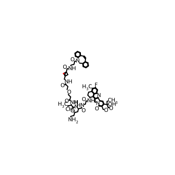 CCC1(O)C(=O)OCc2c1cc1n(c2=O)Cc2c-1nc1cc(F)c(C)c3c1c2C(NC(=O)CNC(=O)C(CCCCN)NC(=O)C(NC(=O)CCOCCC(=O)NCC12CC(C(=O)NCCC(=O)N4Cc5ccccc5C#Cc5ccccc54)(C1)C2)C(C)C)CC3